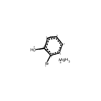 Oc1ccccc1Br.[MgH2]